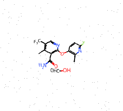 Cc1nc(F)ccc1Oc1ncc(C(F)(F)F)c(C)c1C(N)=O.O=CO